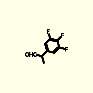 CC(C=O)c1cc(F)c(F)c(F)c1